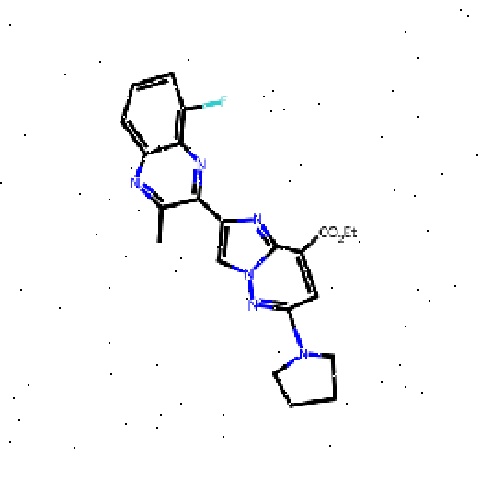 CCOC(=O)c1cc(N2CCCC2)nn2cc(-c3nc4c(F)cccc4nc3C)nc12